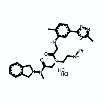 Cc1nnc(-c2ccc(C)c(NCC(=O)N(CCNC(C)C)CC(=O)N(C)N3Cc4ccccc4C3)c2)s1.Cl.Cl